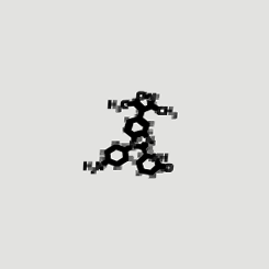 Cc1noc(C)c1-c1ccc2c(c1)nc([C@@H]1CCCC(=O)N1)n2C1CCC(N)CC1